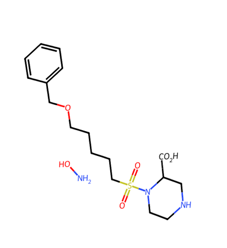 NO.O=C(O)C1CNCCN1S(=O)(=O)CCCCCOCc1ccccc1